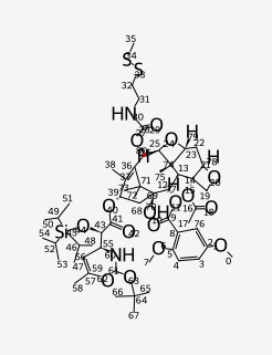 COc1ccc(OC)c(C(=O)O[C@H]2[C@@H]3[C@]4(OC(C)=O)CO[C@@H]4C[C@H]4O[C@@H]([C@H](OC(=O)NCCSSC)C5=C(C)[C@@H](OC(=O)[C@H](O[Si](C(C)C)(C(C)C)C(C)C)[C@H](C=C(C)C)NC(=O)OC(C)(C)C)C[C@]2(O)C5(C)C)[C@@]34C)c1